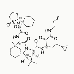 CC1([C@H](NC(=O)NC2([C@H]3CCCS3(=O)=O)CCCCC2)C(=O)N2C[C@H]3[C@@H]([C@H]2C(=O)N[C@@H](CCC2CC2)C(=O)C(=O)NCCF)C3(C)C)CCCCC1